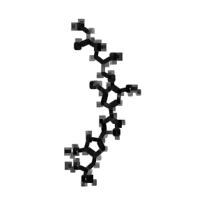 Cc1cc(-c2noc(-c3cc(CC(C)C)c(C)s3)n2)cc(Cl)c1OCC(O)CNC(=O)CO